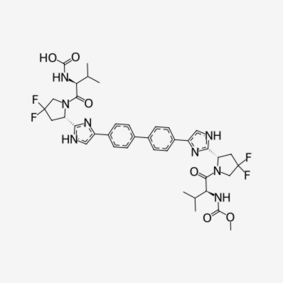 COC(=O)N[C@H](C(=O)N1CC(F)(F)C[C@H]1c1nc(-c2ccc(-c3ccc(-c4c[nH]c([C@@H]5CC(F)(F)CN5C(=O)[C@@H](NC(=O)O)C(C)C)n4)cc3)cc2)c[nH]1)C(C)C